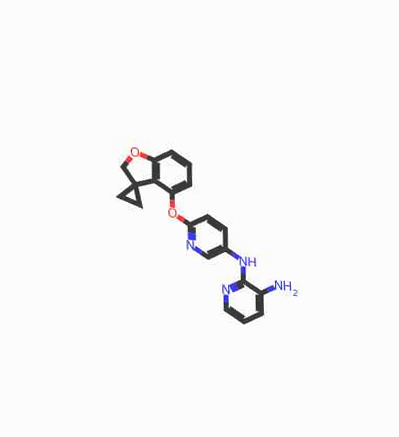 Nc1cccnc1Nc1ccc(Oc2cccc3c2C2(CC2)CO3)nc1